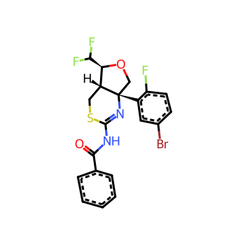 O=C(NC1=N[C@@]2(c3cc(Br)ccc3F)CO[C@H](C(F)F)[C@H]2CS1)c1ccccc1